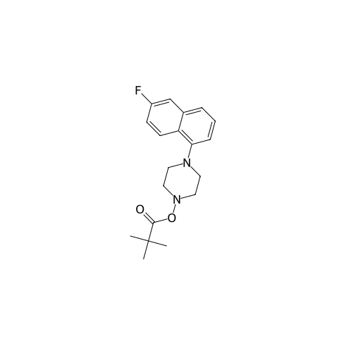 CC(C)(C)C(=O)ON1CCN(c2cccc3cc(F)ccc23)CC1